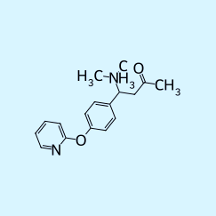 CC(=O)CC(c1ccc(Oc2ccccn2)cc1)N(C)C